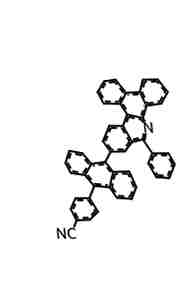 N#Cc1ccc(-c2c3ccccc3c(-c3ccc4c(c3)c(-c3ccccc3)nc3c5ccccc5c5ccccc5c43)c3ccccc23)cc1